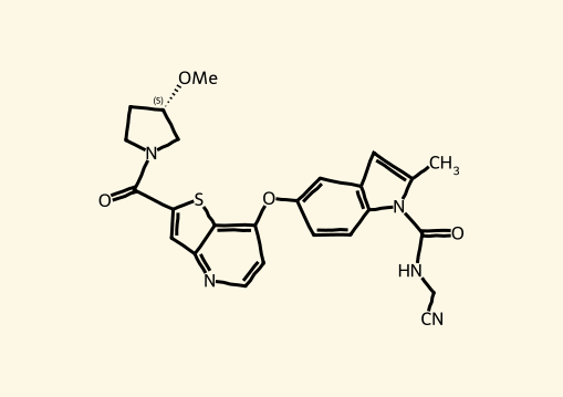 CO[C@H]1CCN(C(=O)c2cc3nccc(Oc4ccc5c(c4)cc(C)n5C(=O)NCC#N)c3s2)C1